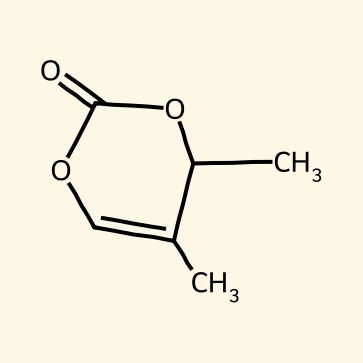 CC1=COC(=O)OC1C